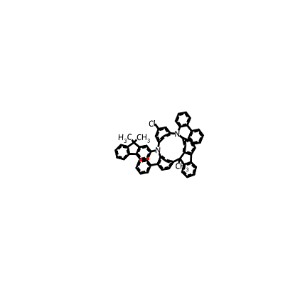 CC1(C)c2ccccc2-c2ccc(N3c4cc(Cl)cc(c4)N(c4ccccc4-c4ccccc4)c4ccc5c(c4)C(C)(c4ccc(-c6ccccc6)c3c4)c3ccccc3-5)cc21